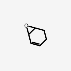 [C]1=CC2OC2CC1